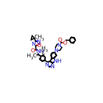 Cc1cc(-c2ncnc3[nH]c4cc(N5CCN(C(=O)OCc6ccccc6)CC5)ccc4c23)ccc1[C@@H](C)NC(=O)c1nc(C2(C)CC2)no1